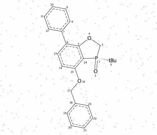 CC(C)(C)[P@@]1(=O)COc2c(-c3ccccc3)ccc(OCc3ccccc3)c21